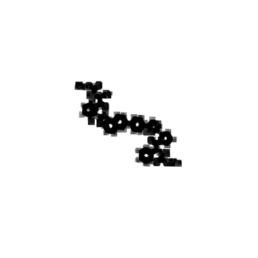 COC(=O)N[C@H](C(=O)N1[C@H]2CC[C@H](C2)[C@H]1c1nc2ccc3cc(-c4ccc(-c5cnc([C@@H]6CCCN6C(=O)[C@H](NC(=O)OC)c6ccccc6)[nH]5)cc4)ccc3c2[nH]1)C(C)C